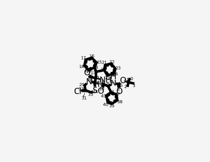 CC(C)(C)OC(=O)NC(C(=O)N[C@]1(C(c2ccccc2)c2ccccc2)C(=O)N2C[C@](C)(Cl)CS[C@H]21)c1ccccc1